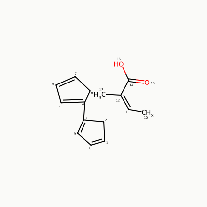 C1=CCC(C2=CC=CC2)=C1.CC=C(C)C(=O)O